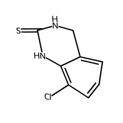 S=C1NCc2cccc(Cl)c2N1